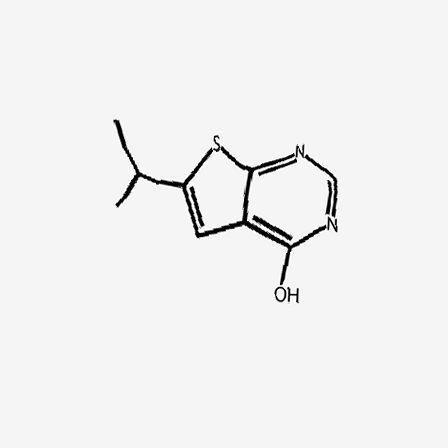 CC(C)c1cc2c(O)ncnc2s1